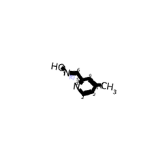 Cc1ccnc(/C=N/O)c1